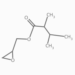 CC(C)C(C)C(=O)OCC1CO1